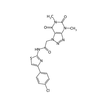 Cn1c(=O)c2c(nnn2CC(=O)Nc2nc(-c3ccc(Cl)cc3)cs2)n(C)c1=O